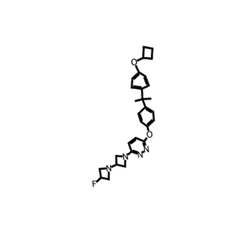 CC(C)(c1ccc(Oc2ccc(N3CC(N4CC(F)C4)C3)nn2)cc1)c1ccc(OC2CCC2)cc1